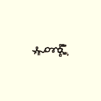 COc1cc(N)c(Cl)cc1CC(=O)CC1CCN(CCNC(=O)N(C)C)CC1